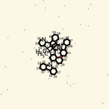 CC1(C2(C)c3cccnc3-c3c2cc(-n2c4ccccc4c4ccccc42)c2ccccc32)c2cccnc2-c2c1cc(-n1c3ccccc3c3ccccc31)c1ccccc21